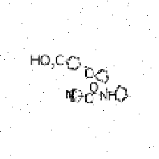 O=C(NC(c1ccccc1)c1cccc(OCc2ccc(C(=O)O)cc2)c1)OC12CCN(CC1)CC2